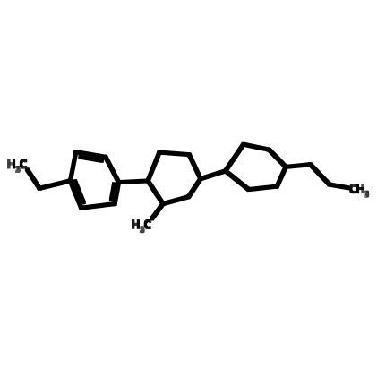 CCCC1CCC(C2CCC(c3ccc(CC)cc3)C(C)C2)CC1